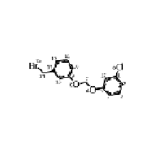 Clc1cccc(OCOc2cccc(CBr)c2)c1